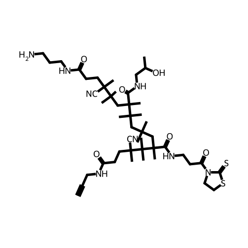 C#CCNC(=O)CCC(C)(C#N)C(C)(C)C(C)(CC(C)(C)CC(C)(C)C(C)(CC(C)(C)C(C)(C#N)CCC(=O)NCCCN)C(=O)NCC(C)O)C(=O)NCCC(=O)N1CCSC1=S